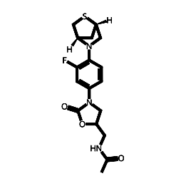 CC(=O)NCC1CN(c2ccc(N3C[C@@H]4C[C@H]3CS4)c(F)c2)C(=O)O1